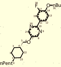 CCCCC[C@H]1CC[C@H](COc2cnc(-c3ccc(OCCCC)c(F)c3)nc2)CC1